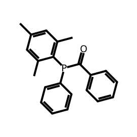 Cc1cc(C)c(P(C(=O)c2ccccc2)c2ccccc2)c(C)c1